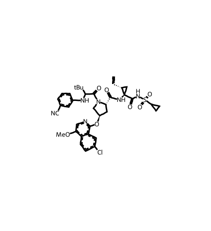 C=C[C@@H]1C[C@]1(NC(=O)[C@@H]1C[C@@H](Oc2ncc(OC)c3ccc(Cl)cc23)CN1C(=O)C(Nc1cccc(C#N)c1)C(C)(C)C)C(=O)NS(=O)(=O)C1CC1